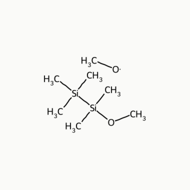 CO[Si](C)(C)[Si](C)(C)C.C[O]